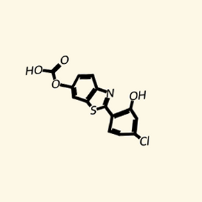 O=C(O)Oc1ccc2nc(-c3ccc(Cl)cc3O)sc2c1